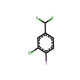 FC(F)c1ccc(I)c(Cl)c1